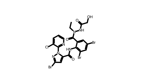 CCN(NC(=O)CO)C(=O)c1cc(Br)cc(Br)c1NC(=O)c1cc(Br)nn1-c1ncccc1Cl